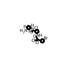 Nc1c(F)ccc(NC(=O)c2cc(NC(=O)C3C(c4cccc(Br)c4)C3(Cl)Cl)ccc2Cl)c1F